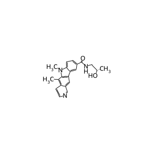 Cc1c2ccncc2cc2c3cc(C(=O)NC[C@H](C)O)ccc3n(C)c12